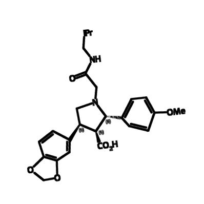 COc1ccc([C@@H]2[C@@H](C(=O)O)[C@@H](c3ccc4c(c3)OCO4)CN2CC(=O)NCC(C)C)cc1